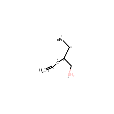 BCC(CC=C)CCCC